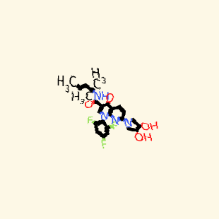 CCCC(C)(C)NC(=O)c1cn(-c2c(F)cc(F)cc2F)c2nc(N3C[C@@H](O)[C@H](O)C3)ccc2c1=O